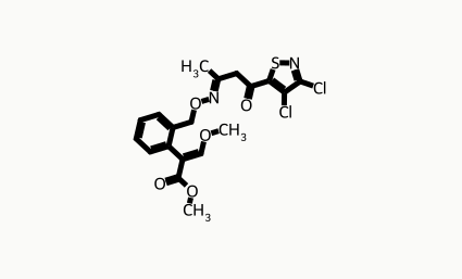 CO/C=C(/C(=O)OC)c1ccccc1CO/N=C(\C)CC(=O)c1snc(Cl)c1Cl